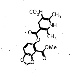 COC(=O)c1c(OC(=O)C2=C(C)NC(C)=C(C(=O)O)C2)ccc2c1OCO2